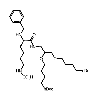 CCCCCCCCCCCCCCOCC(CNC(=O)[C@@H](CCCCNC(=O)O)NCc1ccccc1)OCCCCCCCCCCCCCC